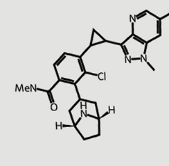 CNC(=O)c1ccc(C2CC2c2nn(C)c3cc(C)cnc23)c(Cl)c1C1C[C@H]2CC[C@@H](C1)N2